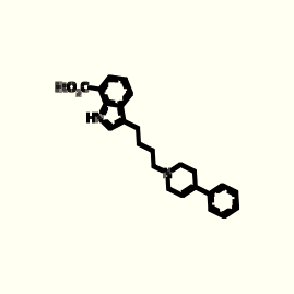 CCOC(=O)c1cccc2c(CCCCN3CC=C(c4ccccc4)CC3)c[nH]c12